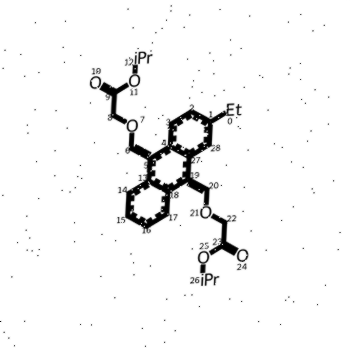 CCc1ccc2c(=COCC(=O)OC(C)C)c3ccccc3c(=COCC(=O)OC(C)C)c2c1